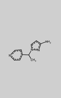 CC(c1ccncc1)n1ccc(N)n1